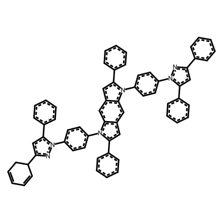 C1=CCC(c2cc(-c3ccccc3)n(-c3ccc(-n4c(-c5ccccc5)cc5cc6c(cc(-c7ccccc7)n6-c6ccc(-n7nc(-c8ccccc8)cc7-c7ccccc7)cc6)cc54)cc3)n2)C=C1